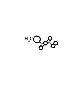 Cc1cccccc(-n2c3ccccc3c3cc4c(cc32)c2ccccc2n4-c2cccc3ccccc23)ccc1